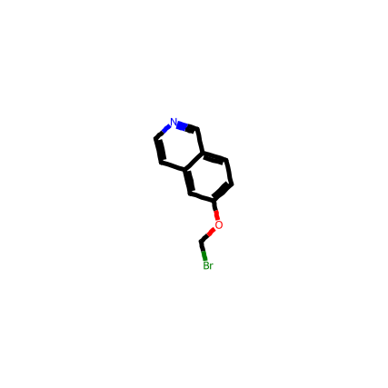 BrCOc1ccc2cnccc2c1